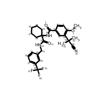 COc1ccc(C(=O)NC2(C(=O)NCc3cccc(C(F)(F)F)c3)CCCCC2)cc1C(C)(C)C#N